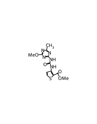 COC(=O)c1sccc1NC(=O)Nc1nc(C)nc(OC)n1